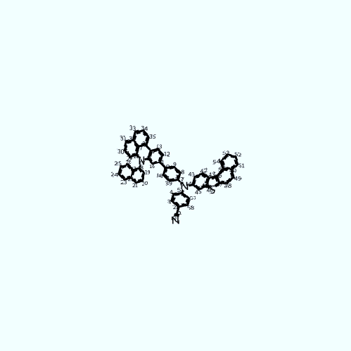 N#Cc1ccc(N(c2ccc(-c3ccc4c(c3)N(c3cccc5ccccc35)c3cccc5cccc-4c35)cc2)c2ccc3c(c2)sc2ccc4ccccc4c23)cc1